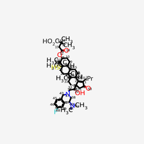 CC(C)C1=C2[C@H]3CC[C@@H]4[C@@]5(C)CC[C@H](OC(=O)CC(C)(C)C(=O)O)C(C)(C)C5(S)CC[C@@]4(C)[C@]3(C)CC[C@@]2([C@@H](O)CN(CCN(C)C)Cc2ccc(F)cc2)CC1=O